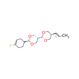 C/C=C/[C@H]1CO[C@H]([C@H]2CO[C@H](C3CC=C(F)CC3)OC2)OC1